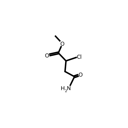 COC(=O)C(Cl)CC(N)=O